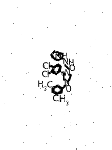 Cc1cc(C)cc(C(=O)N2CCN(C(=O)CNC3CC4CCC(C3)N4)[C@H](c3ccc(Cl)c(Cl)c3)C2)c1